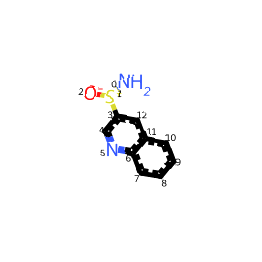 N[S+]([O-])c1cnc2ccccc2c1